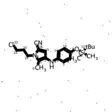 Cc1c(Nc2ccc(O[Si](C)(C)C(C)(C)C)cc2)cc(C#N)n1CCCCl